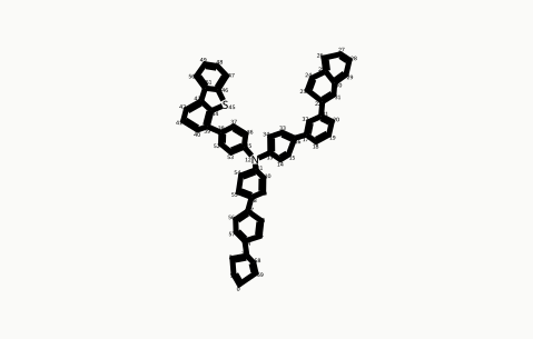 c1ccc(-c2ccc(-c3ccc(N(c4ccc(-c5cccc(-c6ccc7ccccc7c6)c5)cc4)c4ccc(-c5cccc6c5sc5ccccc56)cc4)cc3)cc2)cc1